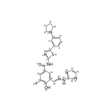 O=C(Nc1ncc(-c2cccc(N3CCCC3)c2)s1)c1cc(F)c(O)c(C=NNc2cnccn2)c1